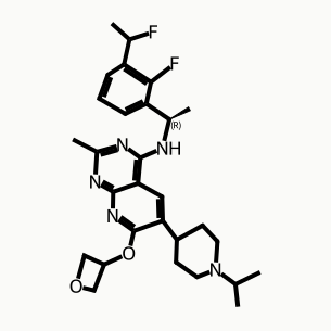 Cc1nc(N[C@H](C)c2cccc(C(C)F)c2F)c2cc(C3CCN(C(C)C)CC3)c(OC3COC3)nc2n1